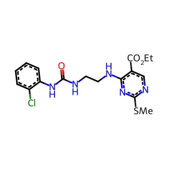 CCOC(=O)c1cnc(SC)nc1NCCNC(=O)Nc1ccccc1Cl